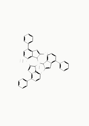 CC1=Cc2c(-c3ccccc3)cccc2C1[SiH](C1C(C)=Cc2c(-c3ccccc3)cccc21)C1C(C)=Cc2c(-c3ccccc3)cccc21